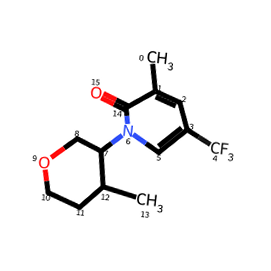 Cc1cc(C(F)(F)F)cn(C2COCCC2C)c1=O